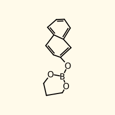 c1ccc2cc(OB3OCCCO3)ccc2c1